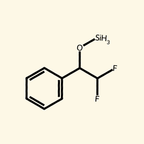 FC(F)C(O[SiH3])c1ccccc1